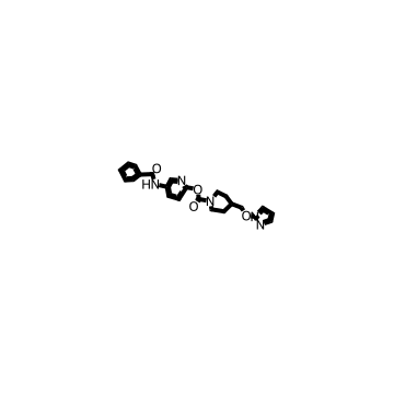 O=C(Nc1ccc(OC(=O)N2CCC(COn3cccn3)CC2)nc1)c1ccccc1